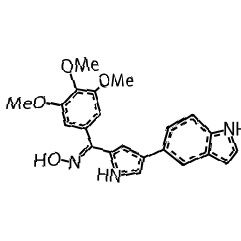 COc1cc(C(=NO)c2cc(-c3ccc4[nH]ccc4c3)c[nH]2)cc(OC)c1OC